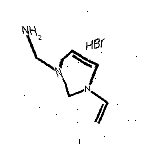 Br.C=CN1C=CN(CN)C1